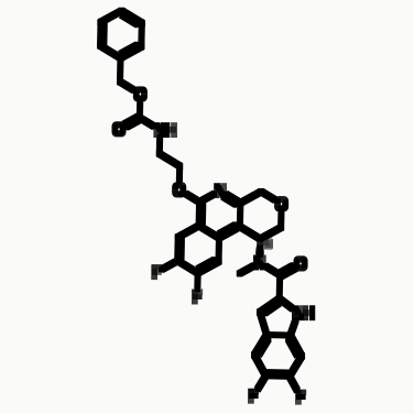 CN(C(=O)c1cc2cc(F)c(F)cc2[nH]1)[C@@H]1COCc2nc(OCCNC(=O)OCc3ccccc3)c3cc(F)c(F)cc3c21